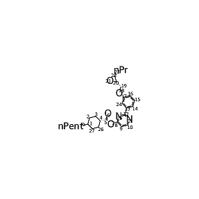 CCCCC[C@H]1CC[C@H](C(=O)Oc2ccnc(-c3cccc(OC[C@@H]4O[C@H]4CCC)c3)n2)CC1